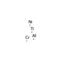 [Al].[Cr].[Ni].[Ti]